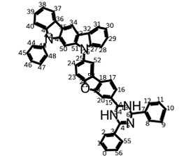 c1ccc(C2=NC(c3ccccc3)NC(c3ccc4c(c3)oc3ccc(-n5c6ccccc6c6cc7c8ccccc8n(-c8ccccc8)c7cc65)cc34)N2)cc1